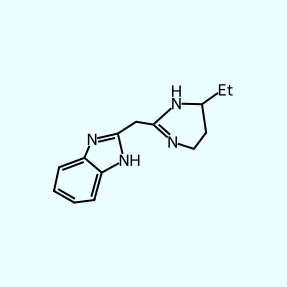 CCC1CCN=C(Cc2nc3ccccc3[nH]2)N1